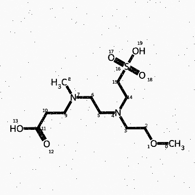 COCCN(CCN(C)CCC(=O)O)CCS(=O)(=O)O